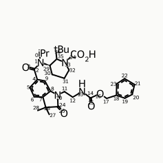 CC(C)N(C(=O)c1ccc2c(c1)N(CCNC(=O)OCc1ccccc1)C(=O)C2(C)C)[C@@H]1CCCN(C(=O)O)C1C(C)(C)C